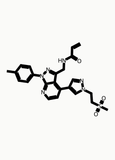 C=CC(=O)NCc1nn(-c2ccc(C)cc2)c2nccc(-c3cnn(CCS(C)(=O)=O)c3)c12